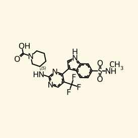 CNS(=O)(=O)c1ccc2c(-c3nc(N[C@H]4CCCN(C(=O)O)C4)ncc3C(F)(F)F)c[nH]c2c1